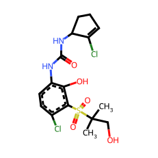 CC(C)(CO)S(=O)(=O)c1c(Cl)ccc(NC(=O)NC2CCC=C2Cl)c1O